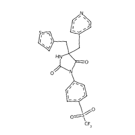 O=C1NC(Cc2ccncc2)(Cc2ccsc2)C(=O)N1c1ccc(S(=O)(=O)C(F)(F)F)cc1